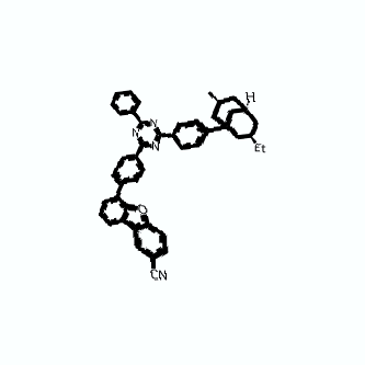 CC[C@@H]1C[C@@H]2C[C@H](C)CC(c3ccc(-c4nc(-c5ccccc5)nc(-c5ccc(-c6cccc7c6oc6ccc(C#N)cc67)cc5)n4)cc3)(C1)C2